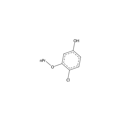 CCCOc1cc(O)ccc1Cl